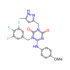 COc1ccc(Nc2nc(=O)n(Cc3cc(C)[nH]n3)c(=O)n2Cc2cc(F)c(F)c(F)c2)cc1